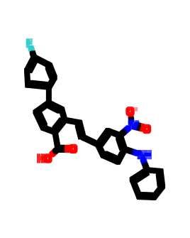 O=C(O)c1ccc(-c2ccc(F)cc2)cc1C=Cc1ccc(Nc2ccccc2)c([N+](=O)[O-])c1